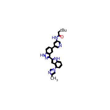 Cc1cn(-c2cccc3[nH]c(-c4n[nH]c5ccc(-c6cncc(NC(=O)CC(C)(C)C)c6)cc45)cc23)cn1